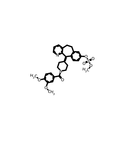 COc1ccc(C(=O)N2CCC(=C3c4ccc(OS(=O)(=O)OC)cc4CCc4cccnc43)CC2)cc1OC